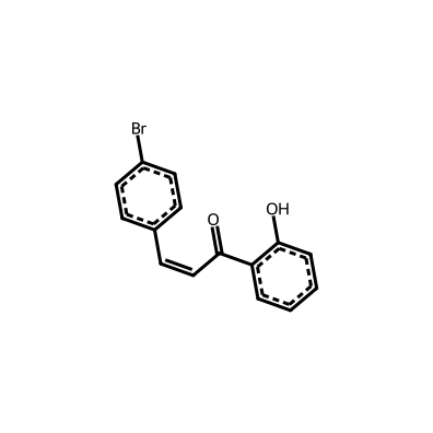 O=C(/C=C\c1ccc(Br)cc1)c1ccccc1O